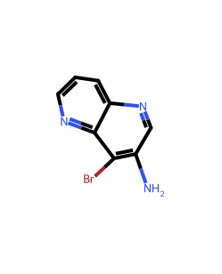 Nc1cnc2cccnc2c1Br